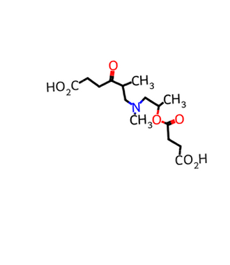 CC(CN(C)CC(C)C(=O)CCC(=O)O)OC(=O)CCC(=O)O